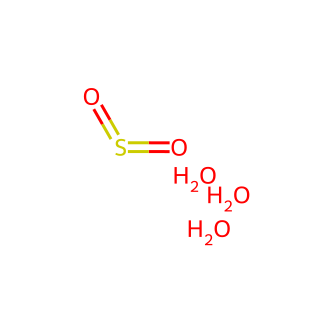 O.O.O.O=S=O